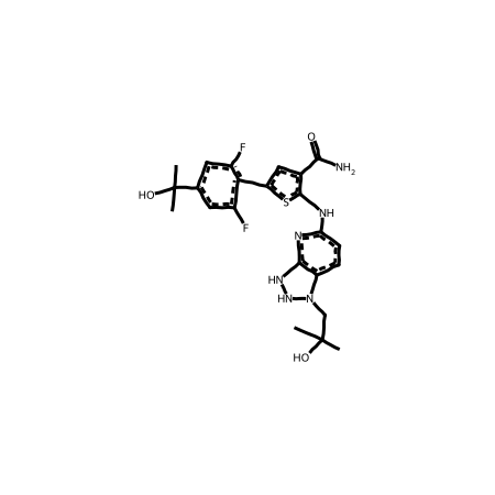 CC(C)(O)CN1NNc2nc(Nc3sc(-c4c(F)cc(C(C)(C)O)cc4F)cc3C(N)=O)ccc21